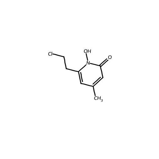 Cc1cc(CCCl)n(O)c(=O)c1